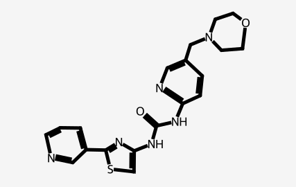 O=C(Nc1ccc(CN2CCOCC2)cn1)Nc1csc(-c2cccnc2)n1